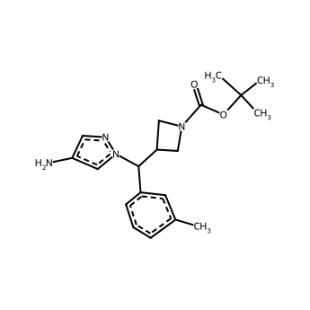 Cc1cccc(C(C2CN(C(=O)OC(C)(C)C)C2)n2cc(N)cn2)c1